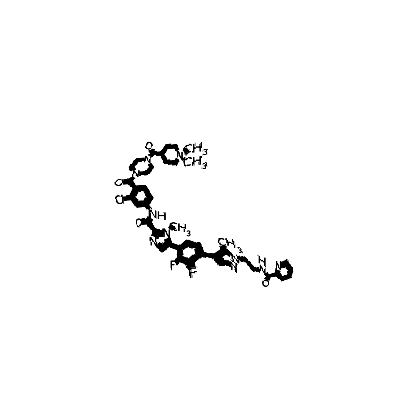 Cc1c(-c2ccc(-c3cnc(C(=O)Nc4ccc(C(=O)N5CCN(C(=O)C6CC[N+](C)(C)CC6)CC5)c(Cl)c4)n3C)c(F)c2F)cnn1CCNC(=O)c1ccccn1